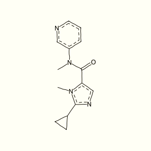 CN(C(=O)c1cnc(C2CC2)n1C)c1cccnc1